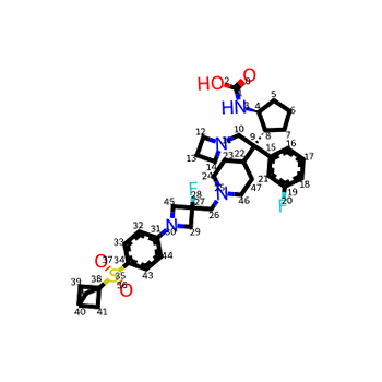 O=C(O)N[C@H]1CCC[C@@H]1C(CN1CCC1)(c1cccc(F)c1)C1CCN(CC2(F)CN(c3ccc(S(=O)(=O)C45CC(C4)C5)cc3)C2)CC1